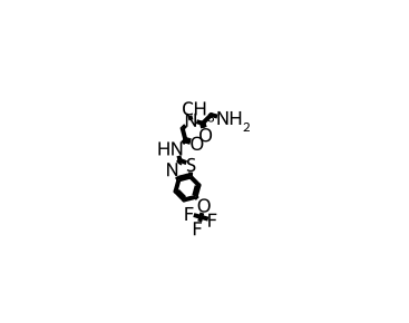 CN(CC(=O)Nc1nc2ccc(OC(F)(F)F)cc2s1)C(=O)CN